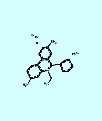 CC[n+]1c(-c2ccccc2)c2cc(N)ccc2c2ccc(N)cc21.[Br-].[Br-].[Br-].[Pb+2]